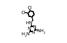 Nc1nc(N)nc(NCc2ccc(Cl)c(Cl)c2)n1